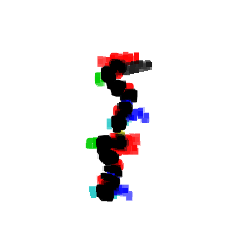 CS[C@H]1O[C@@H](c2ccc(Cl)c(Cc3ccc(O[C@@H]4CCN(C5CO[C@H](c6cc(F)c(CS[C@H]7O[C@@H](c8ccc(Cl)c(Cc9ccc(OC%10CN(C%11CO[C@H](c%12cc(F)ccc%12F)[C@@H](N)C%11)C%10)cc9)c8)[C@H](O)[C@@H](O)[C@@H]7O)cc6F)[C@@H](N)C5)C4)cc3)c2)[C@H](O)[C@@H](O)[C@@H]1O